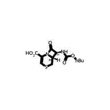 CCCCOC(=O)N[C@@H]1C(=O)N2C(C(=O)O)=CSC[C@@H]12